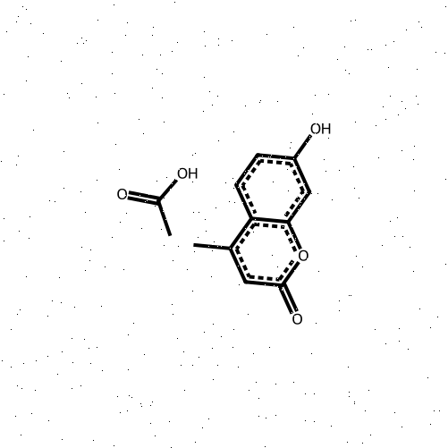 CC(=O)O.Cc1cc(=O)oc2cc(O)ccc12